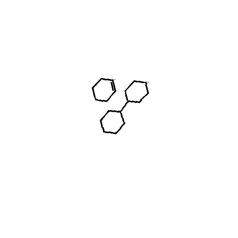 [CH]1CCC(C2CCCCC2)CC1.[C]1=CCCCC1